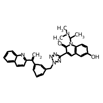 C=C(c1cccc(Cn2nnc(-c3cc4cc(O)ccc4n(C(C)N(C)C)c3=O)n2)c1)c1ccc2ccccc2n1